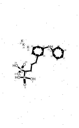 O=P(O)(O)C(CCCc1cccc(Nc2ccccc2)c1)S(=O)(=O)O.[K].[K].[K]